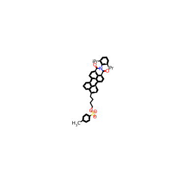 Cc1ccc(S(=O)(=O)OCCCCc2ccc3c4ccc5c6c(ccc(c7cccc2c73)c64)C(=O)N(c2c(C(C)C)cccc2C(C)C)C5=O)cc1